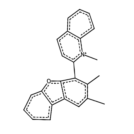 Cc1cc2c(oc3ccccc32)c(-c2ccc3ccccc3[n+]2C)c1C